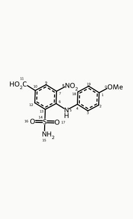 COc1ccc(Nc2c([N+](=O)[O-])cc(C(=O)O)cc2S(N)(=O)=O)cc1